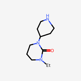 CCN1CCCN(C2CCNCC2)C1=O